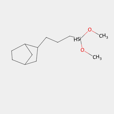 CO[SiH](CCCC1CC2CCC1C2)OC